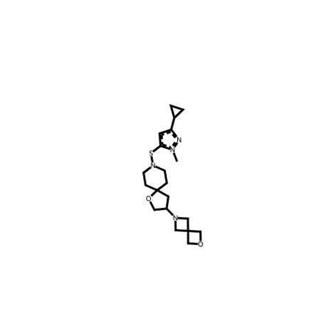 Cn1nc(C2CC2)cc1SN1CCC2(CC1)CC(N1CC3(COC3)C1)CO2